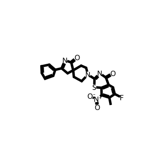 Cc1c(F)cc2c(=O)nc(N3CCC4(CC3)CC(c3ccccc3)=NC4=O)sc2c1[N+](=O)[O-]